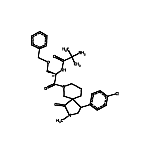 CN1CC(c2ccc(Cl)cc2)C2(CCCN(C(=O)[C@@H](COCc3ccccc3)NC(=O)C(C)(C)N)C2)C1=O